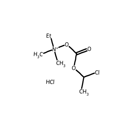 CC[N+](C)(C)OC(=O)OC(C)Cl.Cl